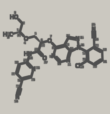 C[C@H](CO)OC[C@H](Oc1ncnc2c1cnn2-c1c(Cl)cccc1C#N)C(=O)Nc1ccc(C#N)cn1